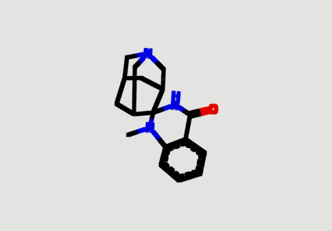 CN1c2ccccc2C(=O)NC12C1CC3CC2CN(C3)C1